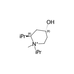 CC(C)[C@H]1C[C@H](O)CC[N+]1(C)C(C)C